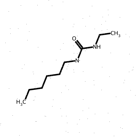 CCCCCC[N]C(=O)NCC